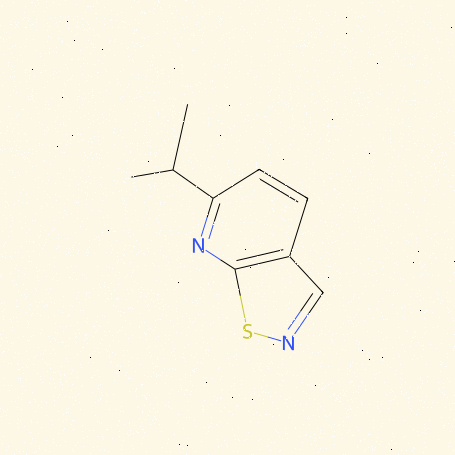 CC(C)c1ccc2cnsc2n1